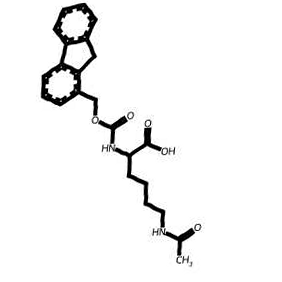 CC(=O)NCCCCC(NC(=O)OCc1cccc2c1Cc1ccccc1-2)C(=O)O